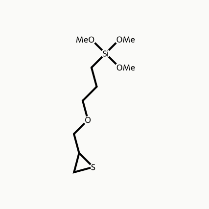 CO[Si](CCCOCC1CS1)(OC)OC